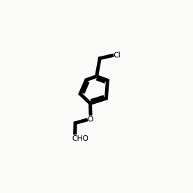 O=CCOc1ccc(CCl)cc1